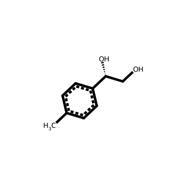 Cc1ccc([C@H](O)CO)cc1